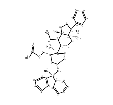 CC(C)(C)C(=O)OC[C@H]1C[C@@H](O[Si](c2ccccc2)(c2ccccc2)C(C)(C)C)CC[C@]1(C)[C@H]1CC[C@@]2(C)[C@@H](CC[C@@]2(O)c2ccccc2)[C@@H]1CO